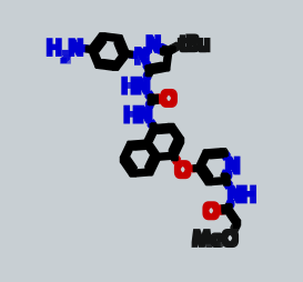 COCC(=O)Nc1cc(Oc2ccc(NC(=O)Nc3cc(C(C)(C)C)nn3-c3ccc(N)cc3)c3ccccc23)ccn1